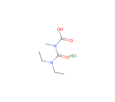 CCN(CC)C(=O)N(C)C(=O)O.Cl